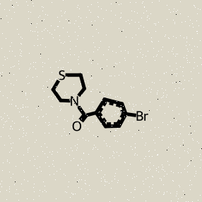 O=C(c1ccc(Br)cc1)N1CCSCC1